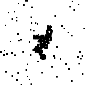 COc1c2c(c(C)c3c1C1(CC1)CN(Cc1c(C)cc(C)nc1OCc1ccccc1)C3=O)OC(C)([C@H]1CC[C@H](N(C)C)CC1)O2